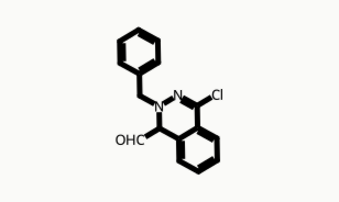 O=CC1c2ccccc2C(Cl)=NN1Cc1ccccc1